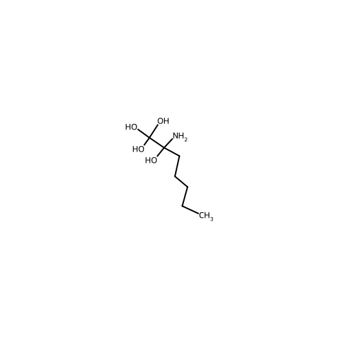 CCCCCC(N)(O)C(O)(O)O